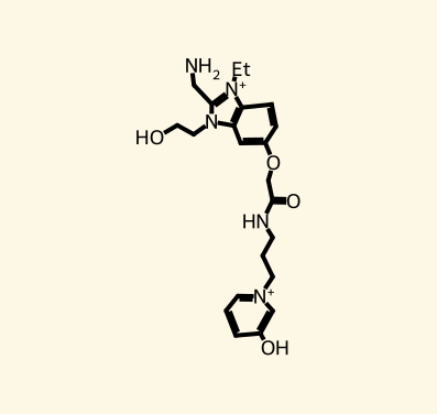 CC[n+]1c(CN)n(CCO)c2cc(OCC(=O)NCCC[n+]3cccc(O)c3)ccc21